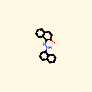 O=C1C=Cc2ccccc2/C1=N/Nc1cccc2ccccc12